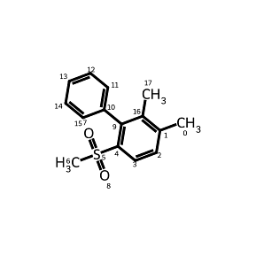 Cc1ccc(S(C)(=O)=O)c(-c2ccccc2)c1C